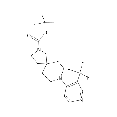 CC(C)(C)OC(=O)N1CCC2(CCN(c3ccncc3C(F)(F)F)CC2)C1